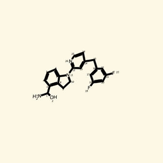 NC(O)c1cccc2c1CCN2c1cc(Cc2cc(F)cc(F)c2)ccn1